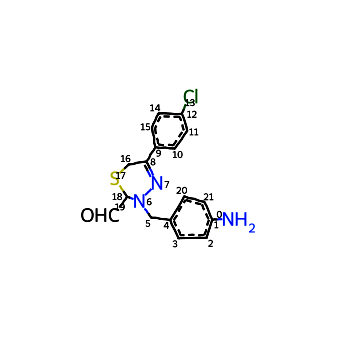 Nc1ccc(CN2N=C(c3ccc(Cl)cc3)CSC2C=O)cc1